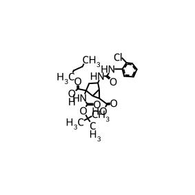 CC(C)(C)OC(=O)NC1(C(=O)O)CC(NC(=O)Nc2ccccc2Cl)C2C(C(=O)O)C21.CCCC